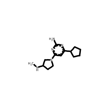 CNC1CCN(c2cc(C3CCCC3)nc(N)n2)C1